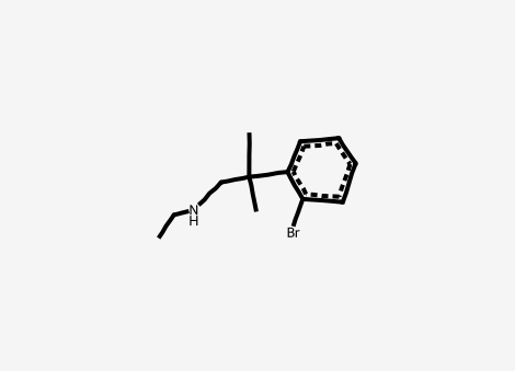 CCNCC(C)(C)c1ccccc1Br